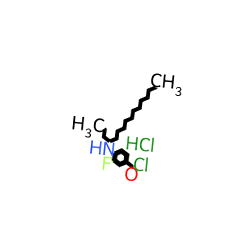 CCCCCCCCCCCCC(CCC)Nc1ccc(C(=O)Cl)cc1F.Cl